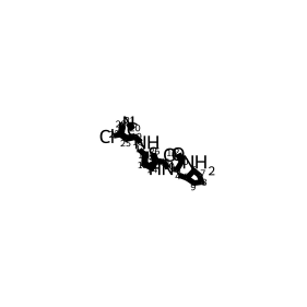 NC(=O)[C@H](CC1CCCC1)NC(=O)c1ccc(CNc2cncc(Cl)c2)s1